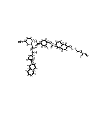 C=CC(=O)OCCCOc1ccc2cc(C(=O)Oc3ccc(C(=O)O[C@H]4CCC(CCC)CC4/C=N/Nc4nc(-c5ccc6ccccc6c5)cs4)cc3C)ccc2c1